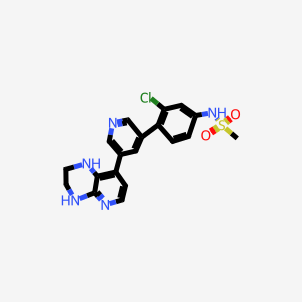 CS(=O)(=O)Nc1ccc(-c2cncc(-c3ccnc4c3NCCN4)c2)c(Cl)c1